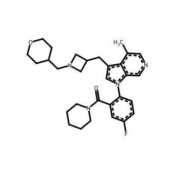 Cc1cncc2c1c(CC1CN(CC3CCOCC3)C1)cn2-c1ccc(F)cc1C(=O)N1CCCCC1